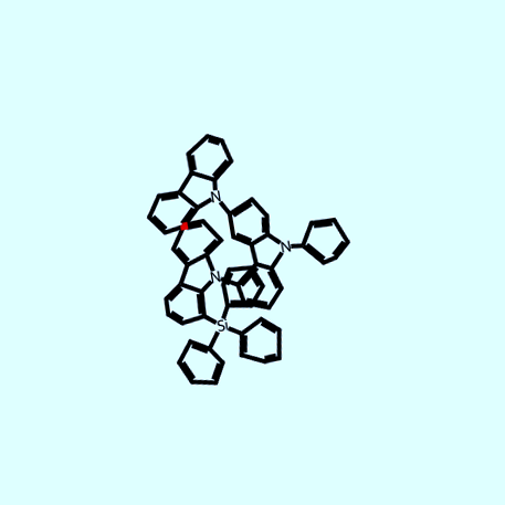 c1ccc(-n2c3ccc(-n4c5ccccc5c5ccccc54)cc3c3c(-n4c5ccccc5c5cccc([Si](c6ccccc6)(c6ccccc6)c6ccccc6)c54)cccc32)cc1